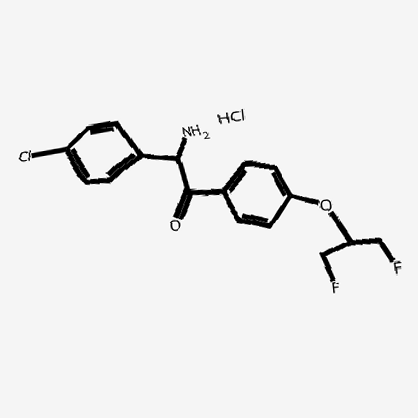 Cl.NC(C(=O)c1ccc(OC(CF)CF)cc1)c1ccc(Cl)cc1